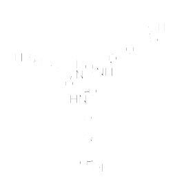 COCCOCCC(=O)NC(CC(=O)NCCOCCOCCCC(=O)O)CC(=O)NCCOCCOCCCC(=O)O